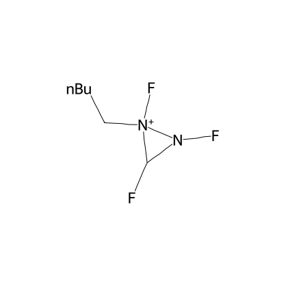 CCCCC[N+]1(F)C(F)N1F